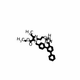 CCCc1nc(CC)c(C(=O)OCC)n1Cc1ccc(-c2cc(-c3ccccc3)ccc2-c2nn[nH]n2)cc1